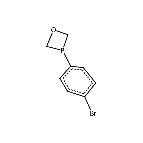 Brc1ccc(P2COC2)cc1